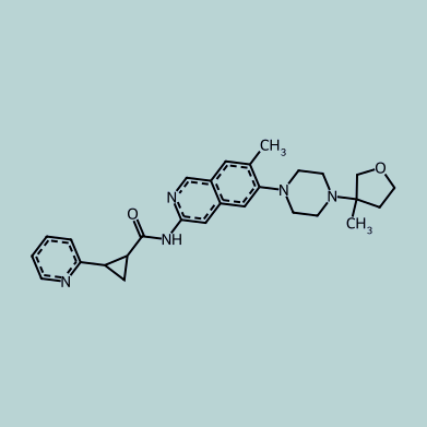 Cc1cc2cnc(NC(=O)C3CC3c3ccccn3)cc2cc1N1CCN(C2(C)CCOC2)CC1